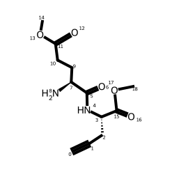 C#CC[C@H](NC(=O)[C@@H](N)CCC(=O)OC)C(=O)OC